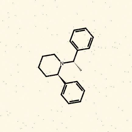 C[C@@H](c1ccccc1)N1CCCC[C@@H]1c1ccccc1